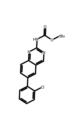 CC(C)(C)OC(=O)Nc1ncc2cc(-c3ccccc3Cl)c[c]c2n1